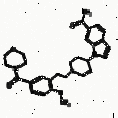 COc1ccc(C(=O)N2CCOCC2)cc1CCN1CCC(n2ccc3ccc(C(N)=O)cc32)CC1